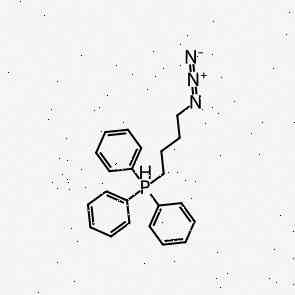 [N-]=[N+]=NCCCC[PH](c1ccccc1)(c1ccccc1)c1ccccc1